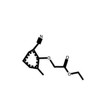 CCOC(=O)COc1c(C)cccc1C#N